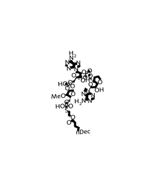 CCCCCCCCCCCCCC(=O)OCCSP(=O)(O)OC[C@H]1OCC(OP(=O)(O)OC[C@H]2O[C@@H](n3cnc4c(N)ncnc43)C(OP(=O)(O)OC[C@]34CCCOC3C(O)[C@H](n3cnc5c(N)ncnc53)O4)C2O)C1OC